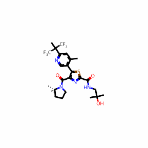 Cc1cc(C(C)(C(F)(F)F)C(F)(F)F)ncc1-c1sc(C(=O)NCC(C)(C)O)nc1C(=O)N1CCC[C@@H]1C